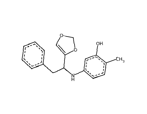 Cc1ccc(NC(Cc2ccccc2)C2=COCO2)cc1O